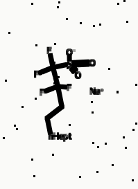 CCCCCCCCCC(F)(F)C(F)(F)S(=O)(=O)[O-].[Na+]